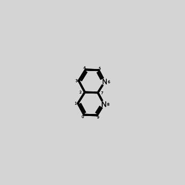 C1=CC2C=CC=NC2N=C1